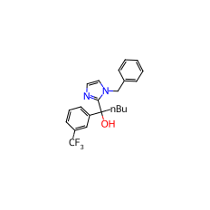 CCCCC(O)(c1cccc(C(F)(F)F)c1)c1nccn1Cc1ccccc1